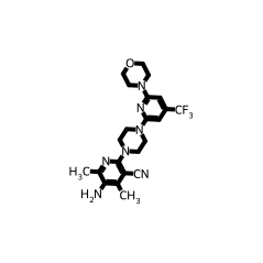 Cc1nc(N2CCN(c3cc(C(F)(F)F)cc(N4CCOCC4)n3)CC2)c(C#N)c(C)c1N